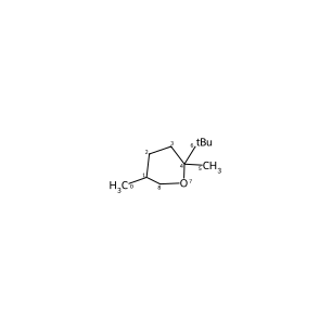 CC1CCC(C)(C(C)(C)C)OC1